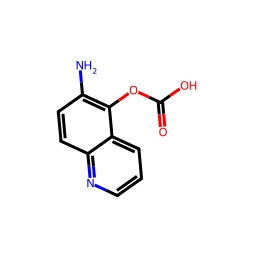 Nc1ccc2ncccc2c1OC(=O)O